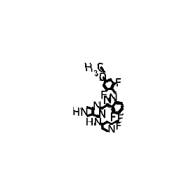 CCOc1cc(F)c(Cn2nc(-c3nc4c(c(Nc5ccnc(C(F)(F)F)c5)n3)CNC4)c3ccccc32)c(F)c1